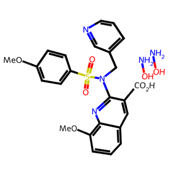 COc1ccc(S(=O)(=O)N(Cc2cccnc2)c2nc3c(OC)cccc3cc2C(=O)O)cc1.NO.NO